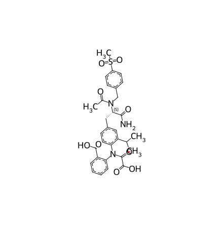 CC(=O)N(Cc1ccc(S(C)(=O)=O)cc1)[C@@H](Cc1ccc(N(C(=O)C(=O)O)c2ccccc2C(=O)O)c(C(C)C)c1)C(N)=O